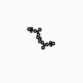 c1ccc(N(c2ccc(-c3nc4ccccc4o3)cc2)c2ccc3c(ccc4c5ccc6cc(N(c7ccccc7)c7ccc(-c8nc9ccccc9o8)cc7)ccc6c5sc34)c2)cc1